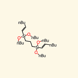 CCCCC=C[Si](CCC[Si](C=CCCCC)(OCCCC)OCCCC)(OCCCC)OCCCC